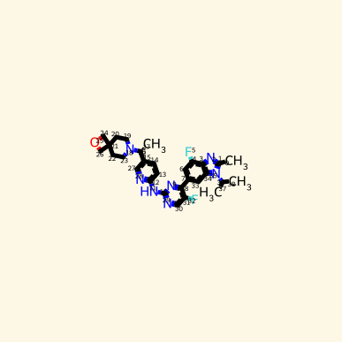 Cc1nc2c(F)cc(-c3nc(Nc4ccc([C@@H](C)N5CCC6(CC5)COC6)cn4)ncc3F)cc2n1C(C)C